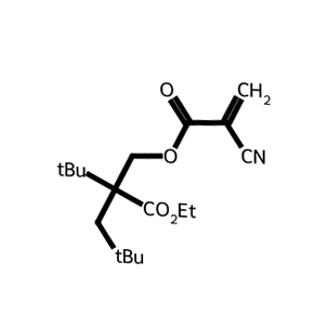 C=C(C#N)C(=O)OCC(CC(C)(C)C)(C(=O)OCC)C(C)(C)C